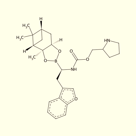 CC1(C)[C@@H]2C[C@H]3OB([C@H](Cc4coc5ccccc45)NC(=O)OCC4CCCN4)O[C@@]3(C)[C@H]1C2